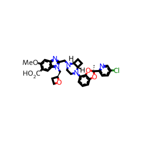 COc1cc2nc(CN3CCN(c4cccc5c4O[C@@](C)(c4ccc(Cl)cn4)O5)[C@H]4CC[C@@H]43)n(C[C@@H]3CCO3)c2cc1C(=O)O